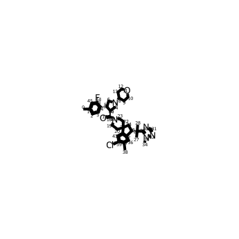 Cc1ccc([C@@H]2CN(C3CCOCC3)C[C@H]2C(=O)N2CCC3(CC2)C[C@H](C(C)(C)c2ncnn2C)c2cc(C)c(Cl)cc23)c(F)c1